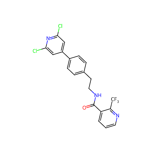 O=C(NCCc1ccc(-c2cc(Cl)nc(Cl)c2)cc1)c1cccnc1C(F)(F)F